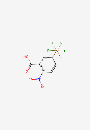 O=C(O)c1cc(S(F)(F)(F)(F)F)ccc1[N+](=O)[O-]